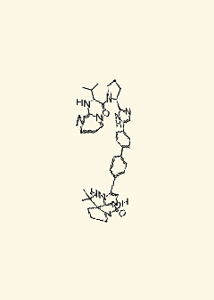 CC(C)[C@@H](Nc1ncccn1)C(=O)N1CCC[C@H]1c1ncc(-c2ccc(-c3ccc(-c4cnc([C@@]5(C(C)(C)C)CCCN5C(=O)O)[nH]4)cc3)cc2)[nH]1